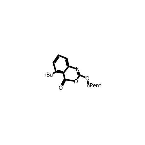 CCCCCOc1nc2cccc(CCCC)c2c(=O)o1